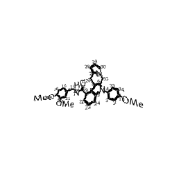 COc1ccc(-n2c3c(c4c(C(=O)NCc5ccc(OC)c(OC)c5)cccc42)Cc2cccn2C3)cc1